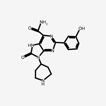 NC(=O)c1nc(-c2cccc(O)c2)nc2c1[nH]c(=O)n2C1CCNCC1